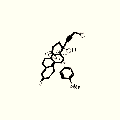 CSc1ccc([C@H]2C[C@@]3(C)[C@@H](CC[C@@]3(O)C#CCCl)[C@@H]3CCC4=CC(=O)CCC4=C32)cc1